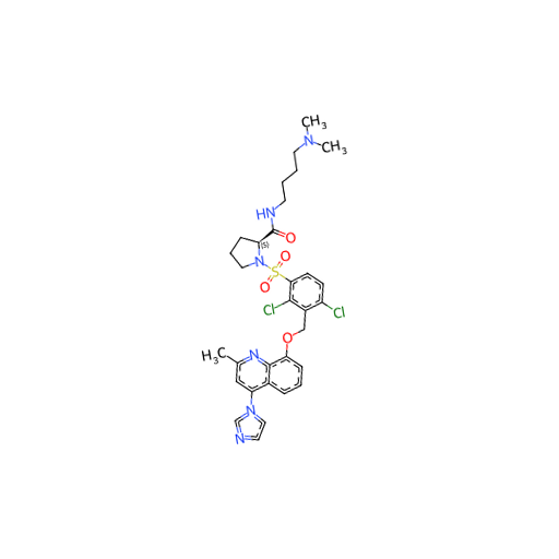 Cc1cc(-n2ccnc2)c2cccc(OCc3c(Cl)ccc(S(=O)(=O)N4CCC[C@H]4C(=O)NCCCCN(C)C)c3Cl)c2n1